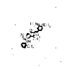 COc1ccc(CCCC(=O)N2CCN(/C(=N\C#N)Nc3ccccc3C)CC2C(C)C)cc1OC